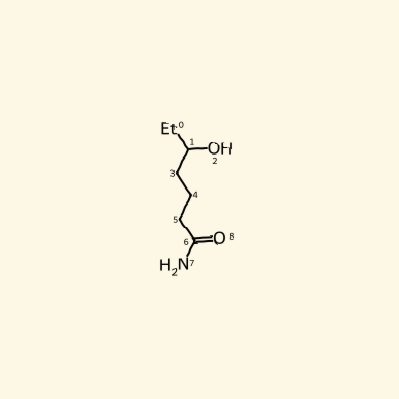 CCC(O)CCCC(N)=O